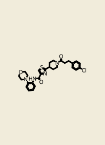 O=C(Nc1ccccc1N1CCOCC1)c1csc(C2CCN(C(=O)CCc3ccc(Cl)cc3)CC2)n1